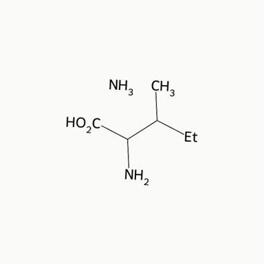 CCC(C)C(N)C(=O)O.N